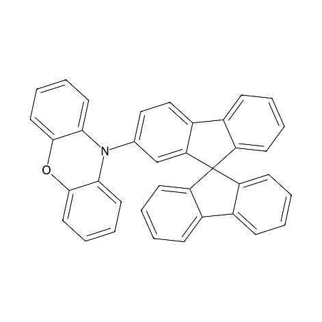 c1ccc2c(c1)Oc1ccccc1N2c1ccc2c(c1)C1(c3ccccc3-c3ccccc31)c1ccccc1-2